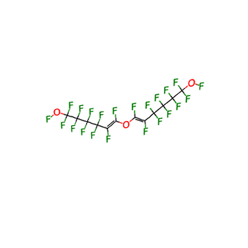 FOC(F)(F)C(F)(F)C(F)(F)C(F)(F)C(F)=C(F)OC(F)=C(F)C(F)(F)C(F)(F)C(F)(F)C(F)(F)OF